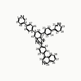 c1cncc(-c2ccc(-c3cc(-c4ccc(-c5cccnc5)cc4)c4nn(-c5ccc(-c6cncc7ccccc67)cc5)nc4c3)cc2)c1